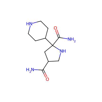 NC(=O)C1CNC(C(N)=O)(C2CCNCC2)C1